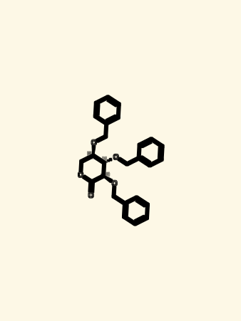 O=C1OC[C@@H](OCc2ccccc2)[C@H](OCc2ccccc2)[C@H]1OCc1ccccc1